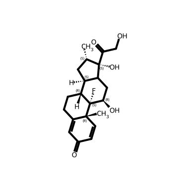 C[C@H]1C[C@H]2C(C[C@@H](O)[C@]3(F)[C@@H]2CCC2=CC(=O)C=C[C@]23C)[C@]1(O)C(=O)CO